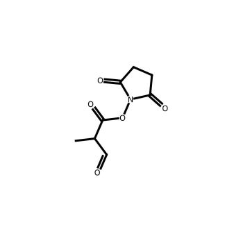 CC(C=O)C(=O)ON1C(=O)CCC1=O